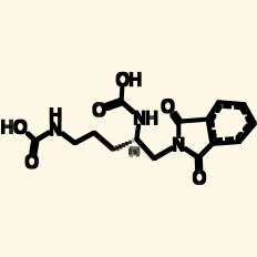 O=C(O)NCCC[C@@H](CN1C(=O)c2ccccc2C1=O)NC(=O)O